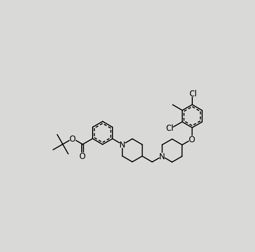 Cc1c(Cl)ccc(OC2CCN(CC3CCN(c4cccc(C(=O)OC(C)(C)C)c4)CC3)CC2)c1Cl